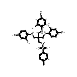 Cc1ccc(S(=O)(=O)OCC(COc2ccc(F)cc2F)(COc2ccc(F)cc2F)COc2ccc(F)cc2F)cc1